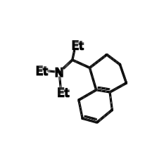 CCC(C1CCCC2=C1CC=CC2)N(CC)CC